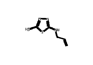 C=CCNc1nnc(S)s1